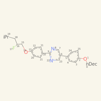 CCCCCCCCCCOc1ccc(-c2cnc(-c3ccc(OCC(F)CC(C)C)cc3)nc2)cc1